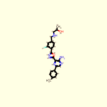 Cc1ccc(-c2cnc(N)c(-c3nnc(-c4ccc(CNCC(C)O)cc4F)o3)n2)cc1